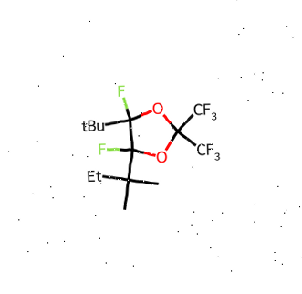 CCC(C)(C)C1(F)OC(C(F)(F)F)(C(F)(F)F)OC1(F)C(C)(C)C